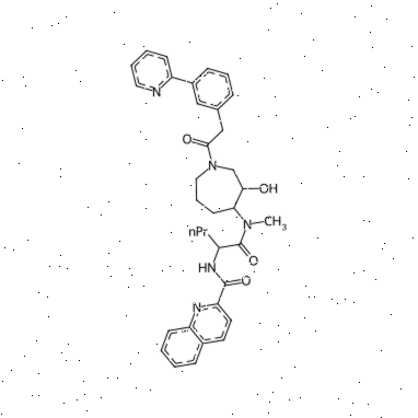 CCCC(NC(=O)c1ccc2ccccc2n1)C(=O)N(C)C1CCCN(C(=O)Cc2cccc(-c3ccccn3)c2)CC1O